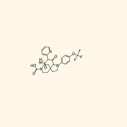 NC(=O)C(C(=O)C1N(c2ccc(OC(F)(F)F)cc2)CCC12CCN(C(=O)O)CC2)c1ccccn1